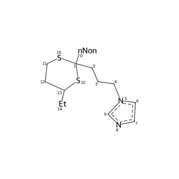 CCCCCCCCCC1(CCCn2ccnc2)SCCC(CC)S1